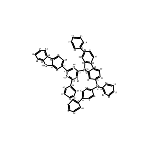 c1ccc(-c2ccc(N(c3ccccc3)c3ccc4c5ccc(-c6ccccc6)cc5n(-c5nc(-c6ccccc6)nc(-c6ccc7c(c6)oc6ccccc67)n5)c4c3)cc2)cc1